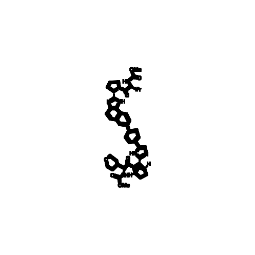 COC(=O)N[C@H](C(=O)N1CCC[C@H]1c1nc2ccc3cc(-c4ccc(-c5cnc([C@@H]6[C@H]7CC[C@H](C7)N6C(=O)[C@@H](NC(=O)OC)C6CCOCC6)[nH]5)cc4)ccc3c2[nH]1)C(C)C